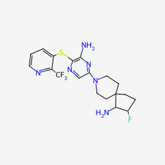 Nc1nc(N2CCC3(CCC(F)C3N)CC2)cnc1Sc1cccnc1C(F)(F)F